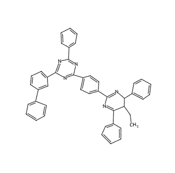 CCC1C(c2ccccc2)=NC(c2ccc(-c3nc(-c4ccccc4)nc(-c4cccc(-c5ccccc5)c4)n3)cc2)=NC1c1ccccc1